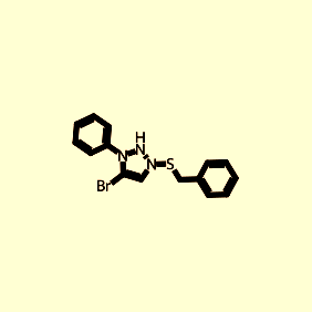 BrC1=CN(SCc2ccccc2)NN1c1ccccc1